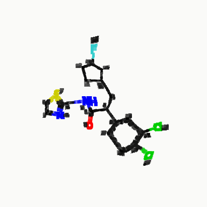 O=C(Nc1nccs1)C(CC1CCC(F)C1)c1ccc(Cl)c(Cl)c1